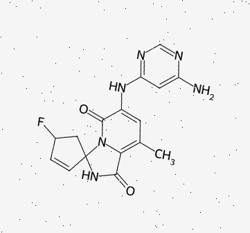 Cc1cc(Nc2cc(N)ncn2)c(=O)n2c1C(=O)NC21C=CC(F)C1